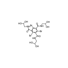 O=C(NCC(O)O)c1c(Br)c(C(=O)NCC(O)O)c(Br)c(C(=O)NCC(O)O)c1Br